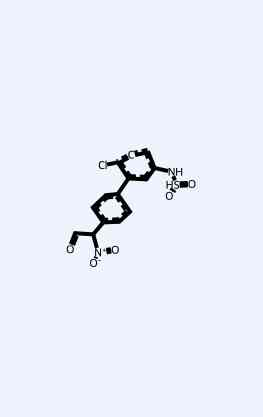 O=CC(c1ccc(-c2cc(N[SH](=O)=O)ccc2Cl)cc1)[N+](=O)[O-]